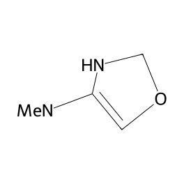 CNC1=COCN1